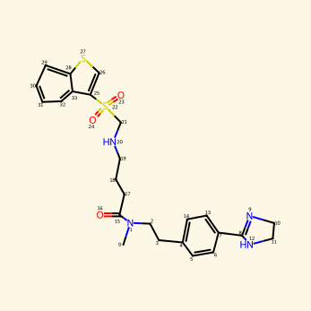 CN(CCc1ccc(C2=NCCN2)cc1)C(=O)CCCNCS(=O)(=O)c1csc2ccccc12